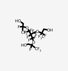 OCC(F)(OC(F)(F)C(F)(C(F)(F)OC(F)(CO)C(F)(F)F)C(F)(F)OC(F)(CO)C(F)(F)F)C(F)(F)F